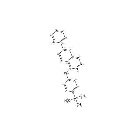 CC(C)(C)c1ccc(Nc2nncc3cc(-c4ccccn4)ccc23)cc1